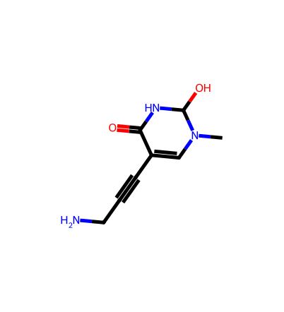 CN1C=C(C#CCN)C(=O)NC1O